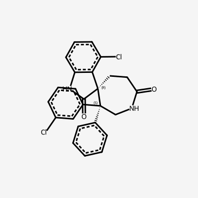 O=C1CC[C@@]2(C(=O)Nc3cccc(Cl)c32)[C@](c2ccccc2)(c2cccc(Cl)c2)CN1